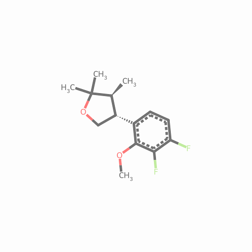 COc1c([C@@H]2COC(C)(C)[C@H]2C)ccc(F)c1F